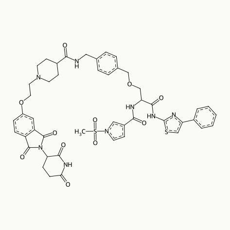 CS(=O)(=O)n1ccc(C(=O)NC(COCc2ccc(CNC(=O)C3CCN(CCOc4ccc5c(c4)C(=O)N(C4CCC(=O)NC4=O)C5=O)CC3)cc2)C(=O)Nc2nc(-c3ccccc3)cs2)c1